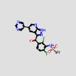 CCCS(=O)(=O)Nc1c(F)ccc(C(=O)c2n[nH]c3ncc(-c4cncnc4)cc23)c1F